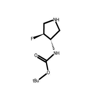 CC(C)(C)OC(=O)N[C@H]1CNC[C@@H]1F